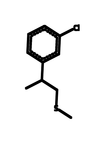 CSCC(C)c1cccc(Cl)c1